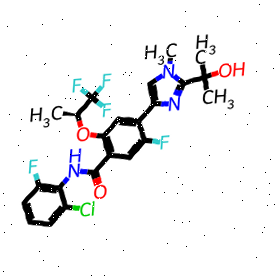 C[C@H](Oc1cc(-c2cn(C)c(C(C)(C)O)n2)c(F)cc1C(=O)Nc1c(F)cccc1Cl)C(F)(F)F